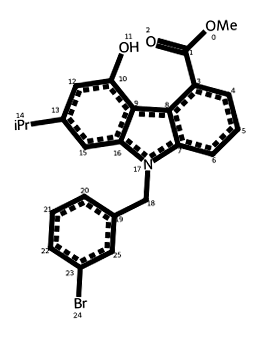 COC(=O)c1cccc2c1c1c(O)cc(C(C)C)cc1n2Cc1cccc(Br)c1